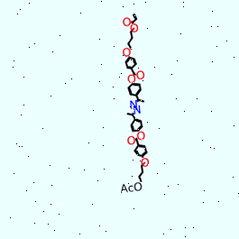 C=CC(=O)OCCCCOc1ccc(C(=O)Oc2ccc(/C(C)=N/N=C(\C)c3ccc(OC(=O)c4ccc(OCCCCOC(C)=O)cc4)cc3)cc2)cc1